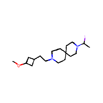 COC1CC(CCN2CCC3(CC2)CCN(C(C)I)CC3)C1